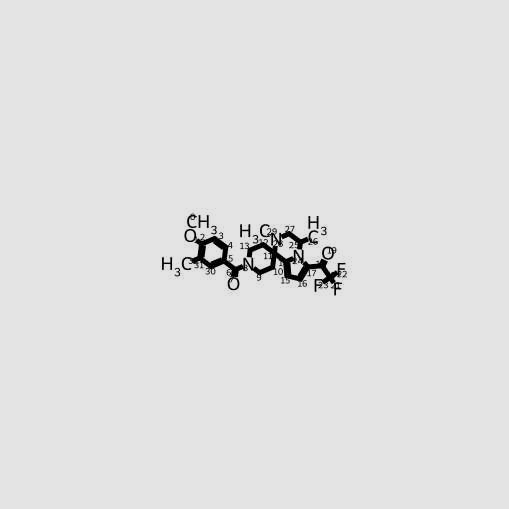 COc1ccc(C(=O)N2CCC3(CC2)c2ccc(C(=O)C(F)(F)F)n2C(C)CN3C)cc1C